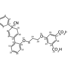 N#CC1(c2ccccc2)C=CC(c2ccccc2OCCCOc2cc(C(=O)O)cc(C(=O)O)c2)=CC1